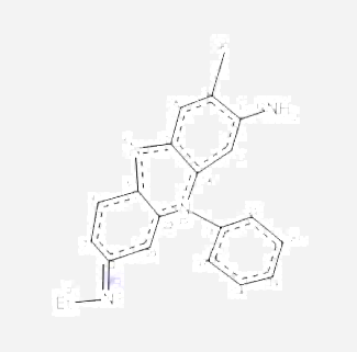 CC/N=c1\ccc2nc3cc(C)c(N)cc3n(-c3ccccc3)c-2c1